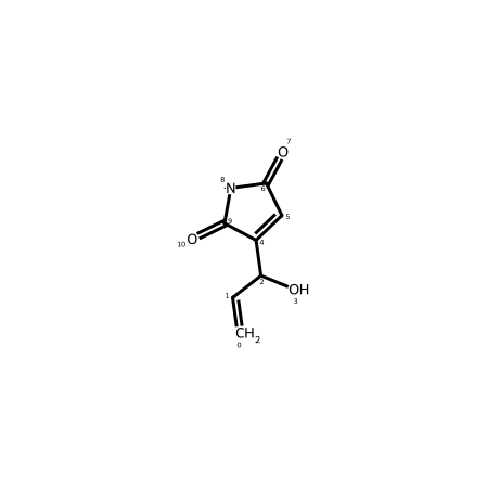 C=CC(O)C1=CC(=O)[N]C1=O